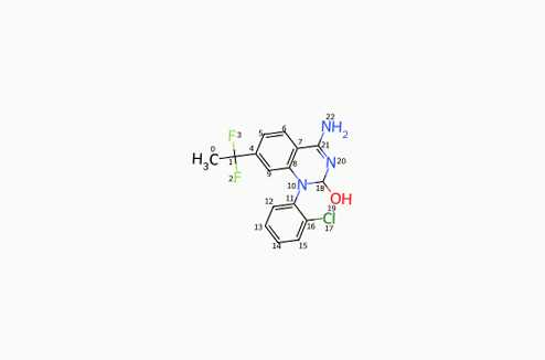 CC(F)(F)c1ccc2c(c1)N(c1ccccc1Cl)C(O)N=C2N